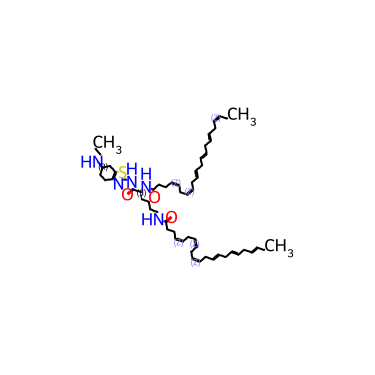 CCC=CCC=CCC=CC/C=C\C/C=C\C/C=C\CCC(=O)NCCCC[C@H](NC(=O)CC/C=C\C/C=C\CC=CCC=CCC=CC/C=C\CC)C(=O)Nc1nc2c(s1)C[C@H](NCCC)CC2